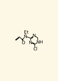 C=CC(=O)N(CC)C1=NCNC(Cl)=N1